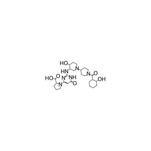 O=C(O)C1CCCN1c1cc(=O)[nH]c(NC2CN(C3CCN(C(=O)C4CCCCC4O)CC3)CCC2O)n1